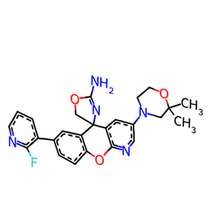 CC1(C)CN(c2cnc3c(c2)C2(COC(N)=N2)c2cc(-c4cccnc4F)ccc2O3)CCO1